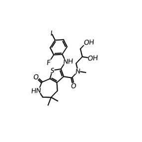 CN(CC(O)CO)C(=O)c1c(Nc2ccc(I)cc2F)sc2c1CC(C)(C)CNC2=O